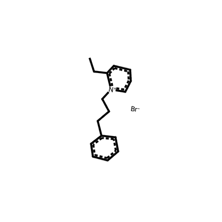 CCc1cccc[n+]1CCCc1ccccc1.[Br-]